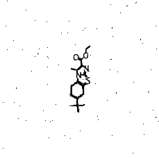 CCOC(=O)c1nc2sc3c(n2c1C)CCC(C(C)(C)C)C3